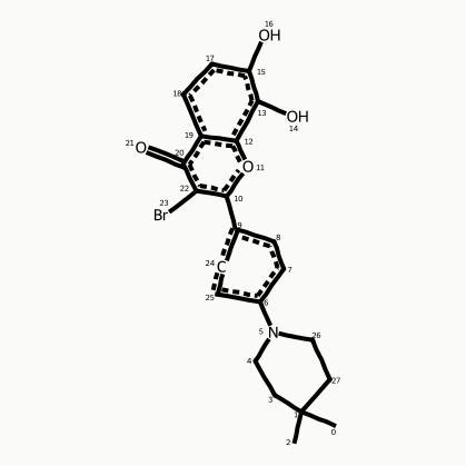 CC1(C)CCN(c2ccc(-c3oc4c(O)c(O)ccc4c(=O)c3Br)cc2)CC1